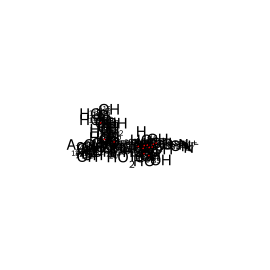 CC(=O)OC1C(C)OC(OC2C(C)OCC(OC(=O)[C@]34CCC(C)(C)CC3C3=CCC5[C@@]6(C)CC[C@H](OC(O)C(OC7OC(CO)C(O)C(O)C7O)C(OC7OCC(O)C(O)C7O)C(O)CC(=O)O)[C@@](C)(/C=N/NC(=O)CCOCCOCCOCCOCCN=[N+]=[N-])C6CC[C@@]5(C)[C@]3(C)C[C@H]4O)(OC3OC(C)C(OC(O)/C(O)=C(/OC4OC(CO)C(O)C(O)C4O)C(C)O)C(O)C3O)C2O)C(O)C1OC(O)C(O)C(O)C(C)O